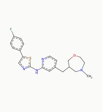 CN1CCOCC(Cc2ccnc(Nc3ncc(-c4ccc(F)cc4)s3)c2)C1